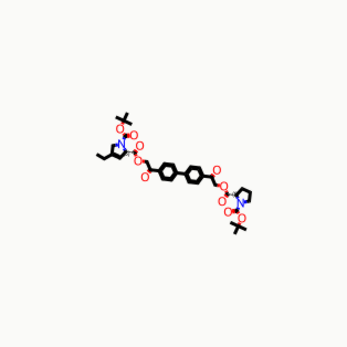 CCC1=C[C@@H](C(=O)OCC(=O)c2ccc(-c3ccc(C(=O)COC(=O)[C@@H]4CCCN4C(=O)OC(C)(C)C)cc3)cc2)N(C(=O)OC(C)(C)C)C1